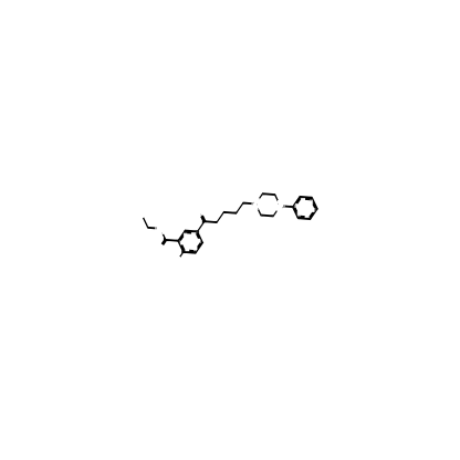 CCOC(=O)c1cc(C(=O)CCCCN2CCN(c3ccccc3)CC2)ccc1O